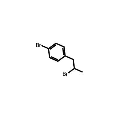 CC(Br)Cc1ccc(Br)cc1